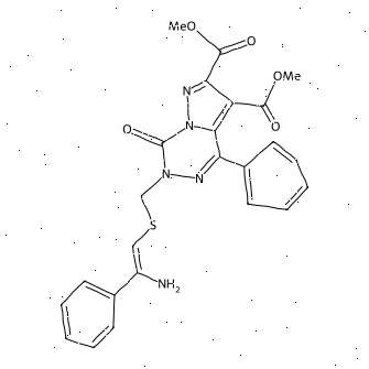 COC(=O)c1nn2c(=O)n(CS/C=C(\N)c3ccccc3)nc(-c3ccccc3)c2c1C(=O)OC